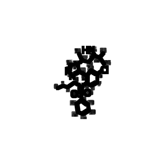 CCCCN(c1ccc(Cl)cc1-c1nncn1C(C)CC(=N)C(C)C)S(=O)(=O)c1ccccc1